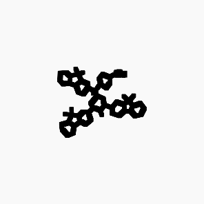 Cc1c(-c2ccc3c(c2)C(C)(C)c2ccccc2-3)cc(N(c2ccc(C(C)(C)C)cc2)c2ccc3c(c2)C(C)(C)c2ccccc2-3)cc1-c1ccc2c(c1)C(C)(C)c1ccccc1-2